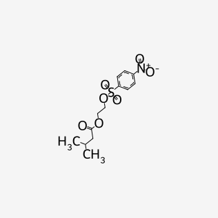 CC(C)CC(=O)OCCOS(=O)(=O)c1ccc([N+](=O)[O-])cc1